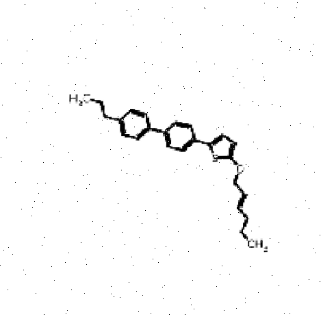 CCCC=CCOc1ccc(-c2ccc(-c3ccc(CCC)cc3)cc2)s1